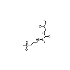 COC(=O)COC(=O)N(C)NCCCS(C)(=O)=O